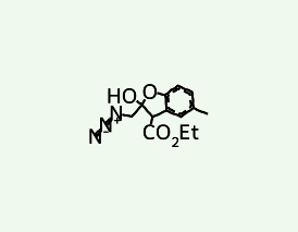 CCOC(=O)C1c2cc(C)ccc2OC1(O)CN=[N+]=[N-]